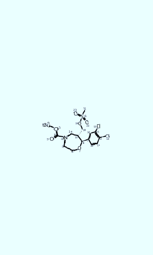 CC(C)(C)OC(=O)N1CCO[C@H](c2ccc(Cl)c(Cl)c2)[C@@H](COS(C)(=O)=O)C1